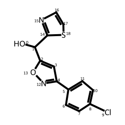 OC(c1cc(-c2ccc(Cl)cc2)no1)c1nccs1